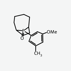 COc1cc(C)cc(P2(=O)C3CCCCC2CC3)c1